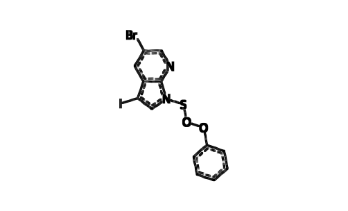 Brc1cnc2c(c1)c(I)cn2SOOc1ccccc1